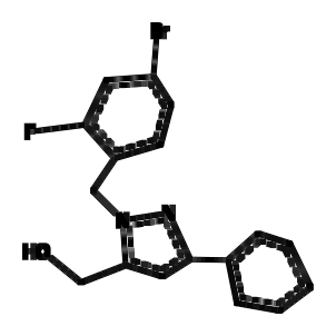 OCc1cc(-c2ccccc2)nn1Cc1ccc(Br)cc1F